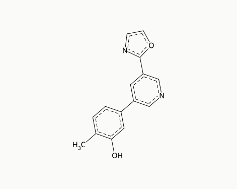 Cc1ccc(-c2cncc(-c3ncco3)c2)cc1O